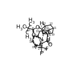 CC(C)(C)C(=O)O[C@@H]1C2[C@H]3CC(C[C@@H]1N3Cc1ccccn1)CN2C(=O)CC(F)(F)F